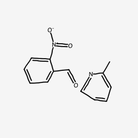 Cc1ccccn1.O=Cc1ccccc1[N+](=O)[O-]